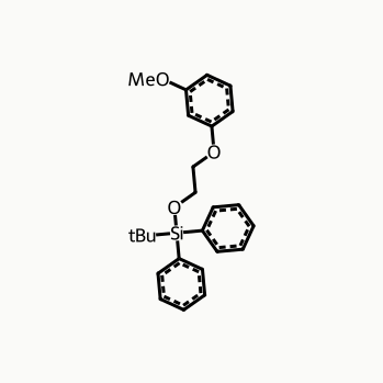 COc1cccc(OCCO[Si](c2ccccc2)(c2ccccc2)C(C)(C)C)c1